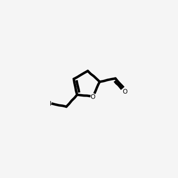 O=CC1CC=C(CI)O1